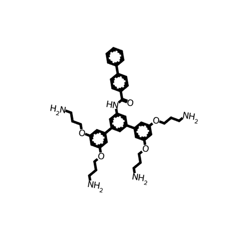 NCCCOc1cc(OCCCN)cc(-c2cc(NC(=O)c3ccc(-c4ccccc4)cc3)cc(-c3cc(OCCCN)cc(OCCCN)c3)c2)c1